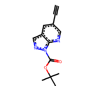 C#Cc1cnc2c(cnn2C(=O)OC(C)(C)C)c1